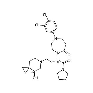 O=C([C@H](CCN1CCC2(CC2)[C@H](O)C1)N1CCN(c2ccc(Cl)c(Cl)c2)CCC1=O)N1CCCC1